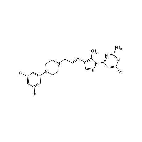 Cc1c(/C=C/CN2CCN(c3cc(F)cc(F)c3)CC2)cnn1-c1cc(Cl)nc(N)n1